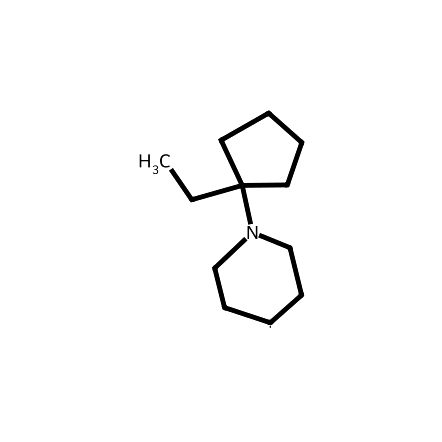 CCC1(N2CC[CH]CC2)CCCC1